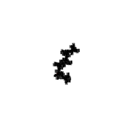 CCNC1=NC(NCCNC2=NC(NCC)=NC(NCCNC3=NC(NCC)NC(NCCNC4=NC(NCC)NC(NC)=N4)N3)N2)NC(NCCNC2=NC(NCCNc3nc(NC)nc(NCC)n3)=NC(NCC)N2)=N1